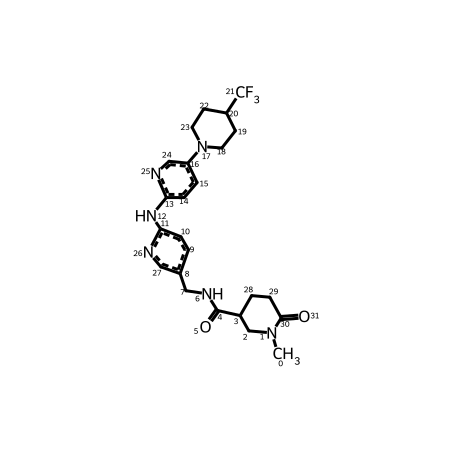 CN1CC(C(=O)NCc2ccc(Nc3ccc(N4CCC(C(F)(F)F)CC4)cn3)nc2)CCC1=O